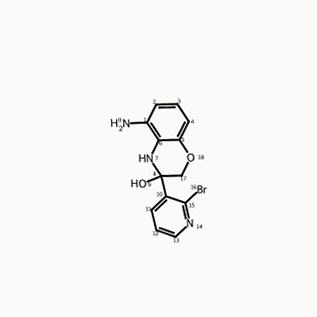 Nc1cccc2c1NC(O)(c1cccnc1Br)CO2